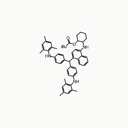 CCC(C)C(=O)OC1CCCCC1Nc1ccc(C(c2ccc(Nc3c(C)cc(C)cc3C)cc2)c2ccc(Nc3c(C)cc(C)cc3C)cc2)c2ccccc12